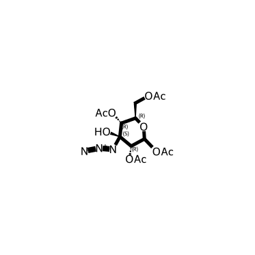 CC(=O)OC[C@H]1OC(OC(C)=O)[C@H](OC(C)=O)[C@](O)(N=[N+]=[N-])[C@@H]1OC(C)=O